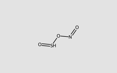 O=NO[SH]=O